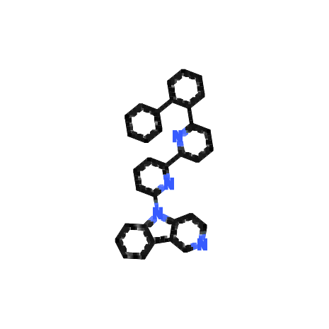 c1ccc(-c2ccccc2-c2cccc(-c3cccc(-n4c5ccccc5c5cnccc54)n3)n2)cc1